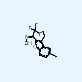 CCc1c(/C(=N\O)C(F)(F)F)oc2ccc(F)cc12